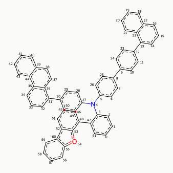 c1ccc(N(c2ccc(-c3ccc(-c4cccc5ccccc45)cc3)cc2)c2ccc(-c3cccc4c3ccc3ccccc34)cc2)c(-c2cccc3c2oc2ccccc23)c1